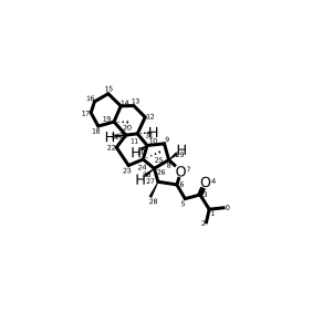 CC(C)C(=O)CC1O[C@H]2C[C@H]3[C@@H]4CCC5CCCC[C@]5(C)[C@H]4CC[C@]3(C)[C@H]2[C@@H]1C